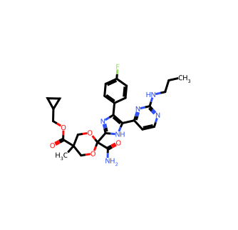 CCCNc1nccc(-c2[nH]c(C3(C(N)=O)OCC(C)(C(=O)OCC4CC4)CO3)nc2-c2ccc(F)cc2)n1